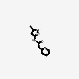 Cc1cc(NC(=O)Cc2ccccn2)n[nH]1